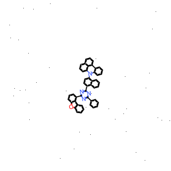 c1ccc(-c2nc(-c3ccc(N4c5ccccc5-c5cccc6cccc4c56)c4ccccc34)nc(-c3cccc4oc5ccccc5c34)n2)cc1